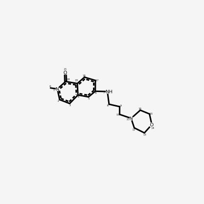 Cn1ccc2cc(NCCCN3CCOCC3)ccc2c1=O